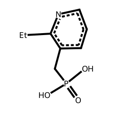 CCc1ncccc1CP(=O)(O)O